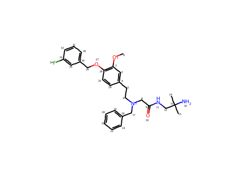 COc1cc(CCN(CC(=O)NCC(C)(C)N)Cc2ccccc2)ccc1OCc1cccc(F)c1